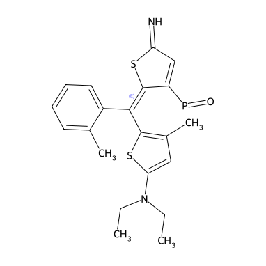 CCN(CC)c1cc(C)c(/C(=C2/SC(=N)C=C2P=O)c2ccccc2C)s1